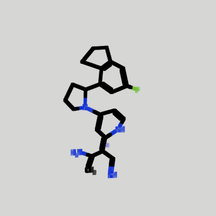 C=C(N)/C(C=N)=C1\C=C(N2CCCC2c2cc(F)cc3c2CCC3)C=CN1